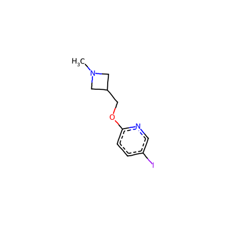 CN1CC(COc2ccc(I)cn2)C1